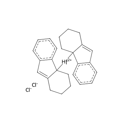 C1=C2CCCC[C]2([Hf+2][C]23CCCCC2=Cc2ccccc23)c2ccccc21.[Cl-].[Cl-]